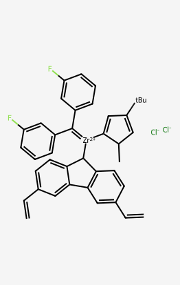 C=Cc1ccc2c(c1)-c1cc(C=C)ccc1[CH]2[Zr+2]([C]1=CC(C(C)(C)C)=CC1C)=[C](c1cccc(F)c1)c1cccc(F)c1.[Cl-].[Cl-]